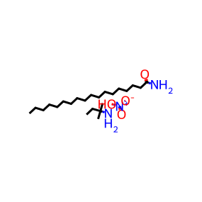 CCC(C)(C)N.CCCCCCCCCCCCCCCCCC(N)=O.O=[N+]([O-])O